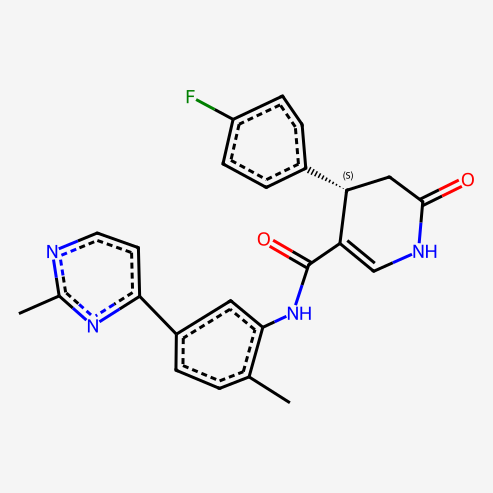 Cc1nccc(-c2ccc(C)c(NC(=O)C3=CNC(=O)C[C@H]3c3ccc(F)cc3)c2)n1